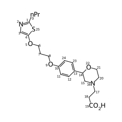 CCCc1ncc(OCCCOc2ccc(C3CN(CCC(=O)O)CCO3)cc2)s1